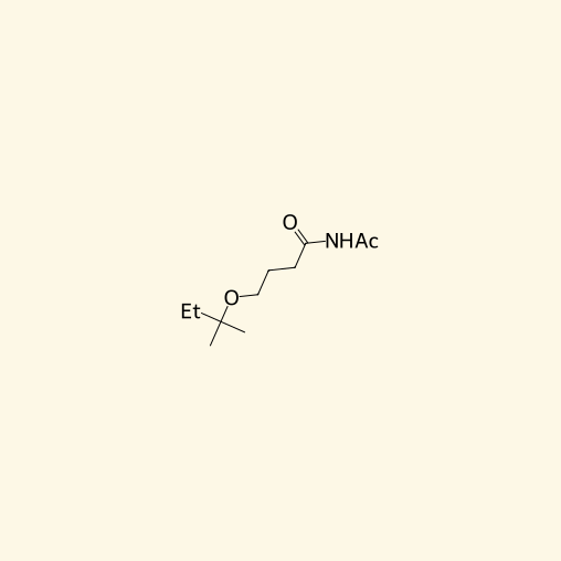 CCC(C)(C)OCCCC(=O)NC(C)=O